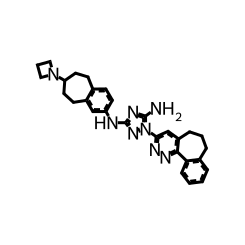 Nc1nc(Nc2ccc3c(c2)CCC(N2CCC2)CC3)nn1-c1cc2c(nn1)-c1ccccc1CCC2